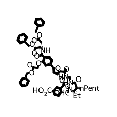 CCCCC[C@@H](C(=O)NCNC(=O)c1ccc(-c2ccc(C(=O)N[C@@H](CC(=O)OCc3ccccc3)C(=O)OCc3ccccc3)c(OCC(=O)OCc3ccccc3)c2)o1)[C@@H](CC)N(C=O)OC(=O)c1cccc(C(=O)O)c1